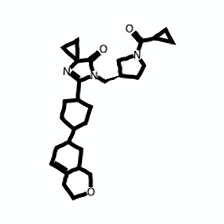 O=C(C1CC1)N1CC[C@@H](CN2C(=O)C3(CC3)N=C2C2CCC(C3CC=C4CCOCC4C3)CC2)C1